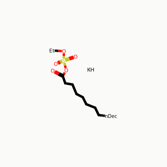 CCCCCCCCCCCCCCCCCC(=O)OS(=O)(=O)OCC.[KH]